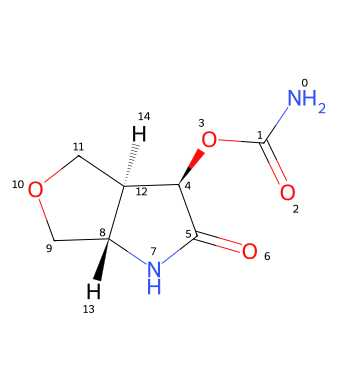 NC(=O)O[C@H]1C(=O)N[C@@H]2COC[C@H]21